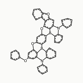 c1ccc(Oc2cc3c4c(c2)N(c2ccccc2)c2ccccc2B4c2cc4c(cc2O3)Oc2c3c(cc5oc6ccccc6c25)N(c2ccccc2)c2ccccc2B43)cc1